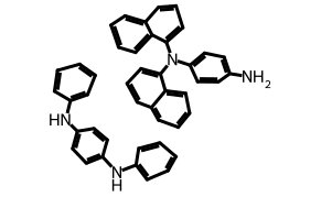 Nc1ccc(N(c2cccc3ccccc23)c2cccc3ccccc23)cc1.c1ccc(Nc2ccc(Nc3ccccc3)cc2)cc1